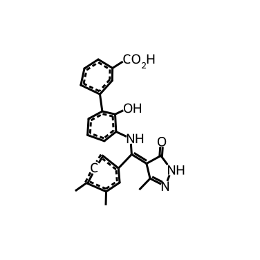 CC1=NNC(=O)C1=C(Nc1cccc(-c2cccc(C(=O)O)c2)c1O)c1ccc(C)c(C)c1